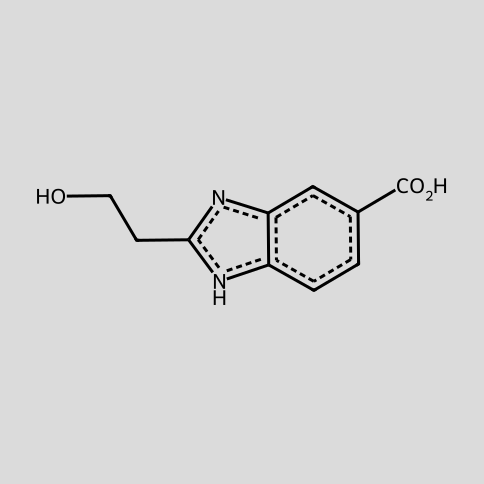 O=C(O)c1ccc2[nH]c(CCO)nc2c1